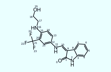 O=C1Nc2ccccc2C1=CNc1ccc(NCCO)c(C(F)(F)F)c1